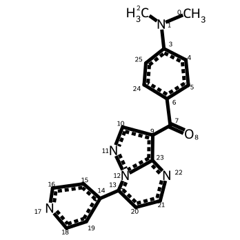 CN(C)c1ccc(C(=O)c2cnn3c(-c4ccncc4)ccnc23)cc1